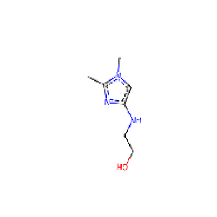 Cc1nc(NCCO)cn1C